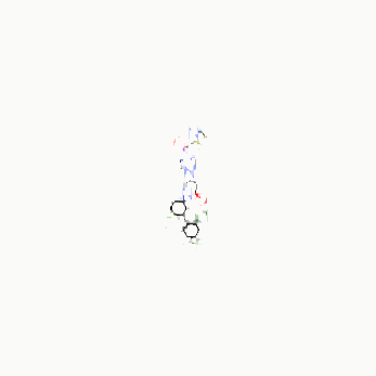 O=C(c1nccs1)N1CCN(C2CC(=O)N(c3ccc(F)c(-c4ccc(F)cc4Cl)c3)C2)CC1